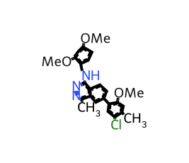 COc1ccc(CNc2nnc(C)c3cc(-c4cc(Cl)c(C)cc4OC)ccc23)c(OC)c1